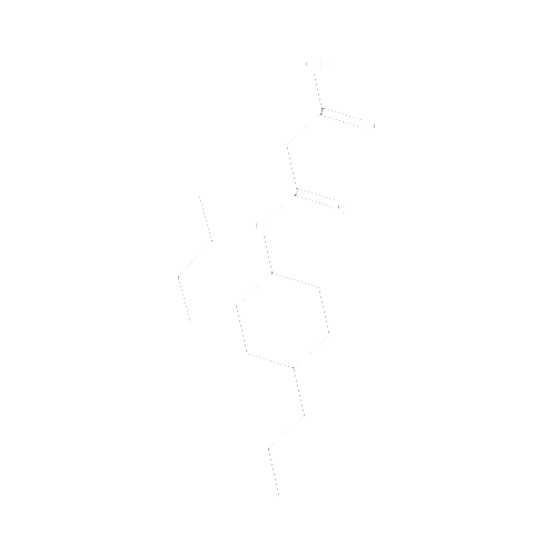 CCCC.CCCC1CCC(OC(=O)CC(=O)O)CC1